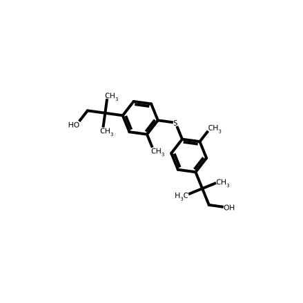 Cc1cc(C(C)(C)CO)ccc1Sc1ccc(C(C)(C)CO)cc1C